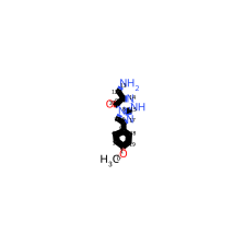 COc1ccc(C2CN3C(=O)C(CN)=NNC3=N2)cc1